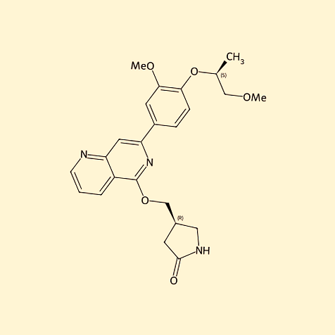 COC[C@H](C)Oc1ccc(-c2cc3ncccc3c(OC[C@H]3CNC(=O)C3)n2)cc1OC